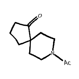 CC(=O)N1CCC2(CCCC2=O)CC1